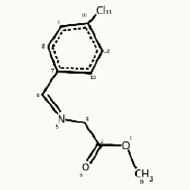 COC(=O)C/N=C\c1ccc(Cl)cc1